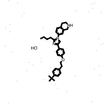 CCCCc1nc(-c2ccc(OCCc3ccc(C(C)(C)C)cc3)cc2)cn1-c1ccc2c(c1)CNCC2.Cl